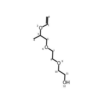 C=COC(C)COCCOCCO